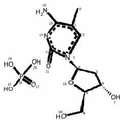 Cc1cn([C@H]2C[C@H](O)[C@@H](CO)O2)c(=O)nc1N.O=P(O)(O)O